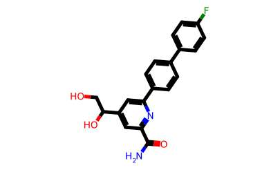 NC(=O)c1cc(C(O)CO)cc(-c2ccc(-c3ccc(F)cc3)cc2)n1